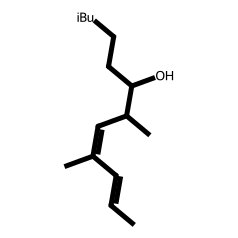 CC=CC(C)=CC(C)C(O)CCC(C)CC